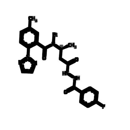 CCN(C(=O)c1cc(C)ccc1-n1nccn1)[C@@H](C)CC(=O)NNC(=O)c1ccc(F)cc1